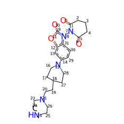 O=C1CCCC(=O)N1n1c(=O)oc2cc(N3CCC(CCN4CCNCC4)CC3)ccc21